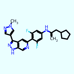 C=C(CC1CCCC1)Nc1cc(F)c(-c2cc3c(-c4cnn(C)c4)n[nH]c3cn2)c(F)c1